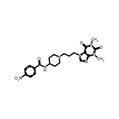 Cn1c(=O)c2c(ncn2CCCN2CCC(NC(=O)c3ccc([N+](=O)[O-])cc3)CC2)n(C)c1=O